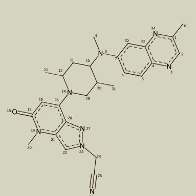 Cc1cnc2ccc(N(C)C3CC(C)N(c4cc(=O)n(C)c5cn(CC#N)nc45)CC3C)cc2n1